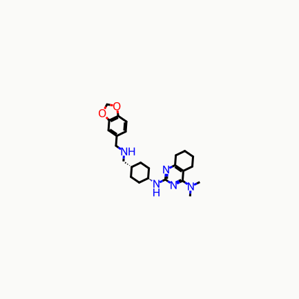 CN(C)c1nc(N[C@H]2CC[C@@H](CNCc3ccc4c(c3)OCO4)CC2)nc2c1CCCC2